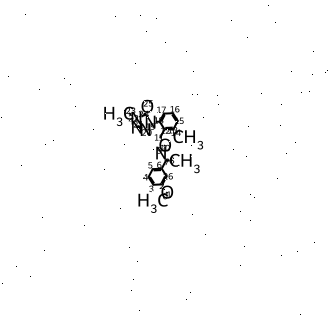 COc1cccc(C(C)=NOCc2c(C)cccc2-n2nnn(C)c2=O)c1